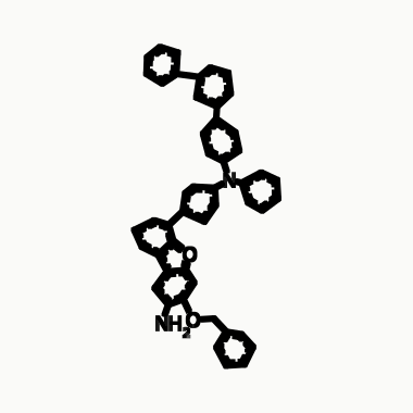 Nc1cc2c(cc1OCc1ccccc1)oc1c(-c3ccc(N(c4ccccc4)c4ccc(-c5cccc(-c6ccccc6)c5)cc4)cc3)cccc12